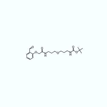 CC(C)(C)OC(=O)NCCCOCCCNC(=O)COc1ccccc1C=O